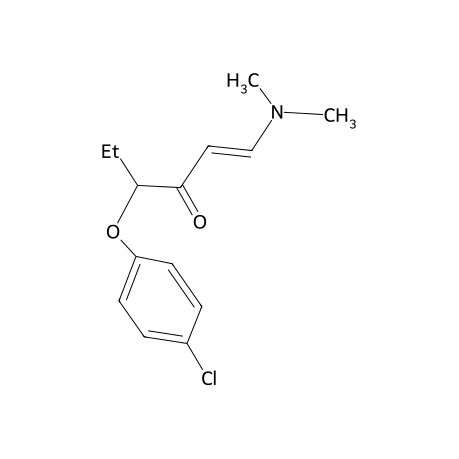 CCC(Oc1ccc(Cl)cc1)C(=O)C=CN(C)C